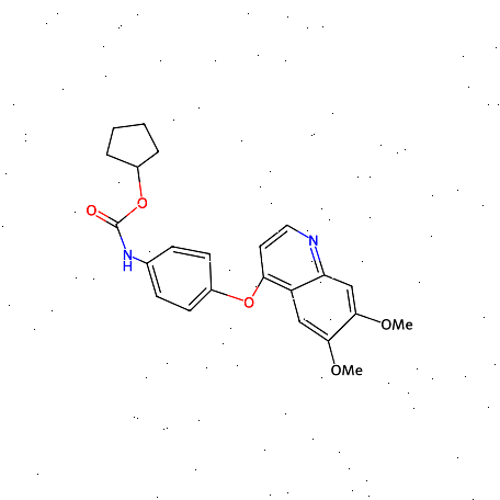 COc1cc2nccc(Oc3ccc(NC(=O)OC4CCCC4)cc3)c2cc1OC